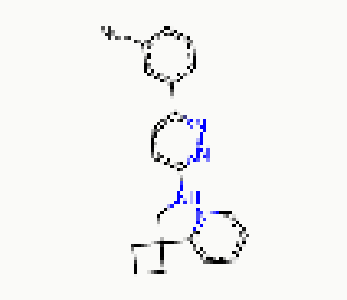 N#Cc1cccc(-c2ccc(NCC3(c4ccccn4)CCC3)nn2)c1